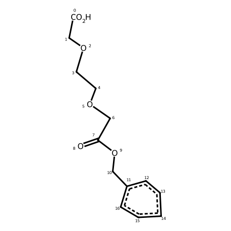 O=C(O)COCCOCC(=O)OCc1ccccc1